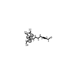 CCC#CCCCC[Si](OCC)(OCC)OCC